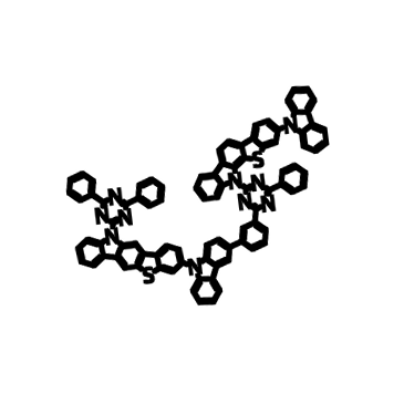 c1ccc(-c2nc(-c3ccccc3)nc(-n3c4ccccc4c4cc5sc6cc(-n7c8ccccc8c8cc(-c9cccc(-c%10nc(-c%11ccccc%11)nc(-n%11c%12ccccc%12c%12ccc%13c%14ccc(-n%15c%16ccccc%16c%16ccccc%16%15)cc%14sc%13c%12%11)n%10)c9)ccc87)ccc6c5cc43)n2)cc1